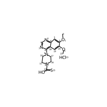 COc1cc2ncnc(N3CCN(C(O)=S)CC3)c2cc1OC.Cl